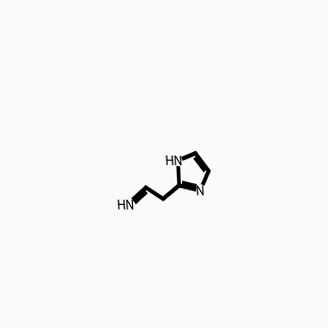 N=CCc1ncc[nH]1